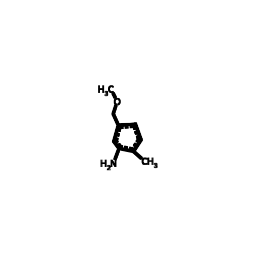 COCc1ccc(C)c(N)c1